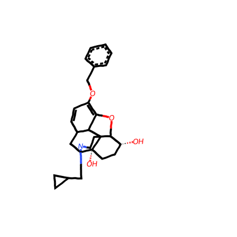 O[C@@H]1CC[C@@]2(O)C3CC4C=CC(OCc5ccccc5)=C5OC1C2(CCN3CC1CC1)C54